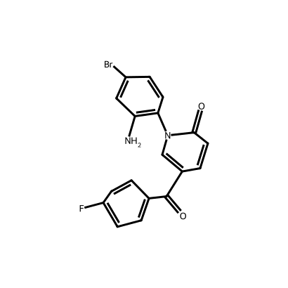 Nc1cc(Br)ccc1-n1cc(C(=O)c2ccc(F)cc2)ccc1=O